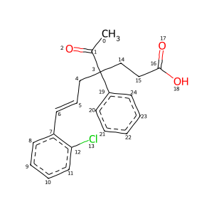 CC(=O)C(CC=Cc1ccccc1Cl)(CCC(=O)O)c1ccccc1